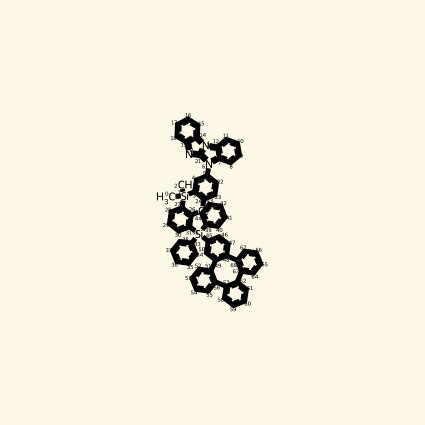 C[Si]1(C)c2cc(-n3c4ccccc4n4c5ccccc5nc34)ccc2Oc2c1cccc2[Si](c1ccccc1)(c1ccccc1)c1ccc2c(c1)-c1ccccc1-c1ccccc1-c1ccccc1-2